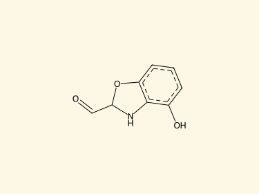 O=CC1Nc2c(O)cccc2O1